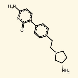 Nc1ccn(-c2ccc(CCN3CC[C@H](N)C3)cc2)c(=O)n1